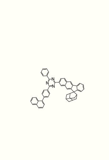 c1ccc(-c2nc(-c3ccc(-c4cccc5ccccc45)cc3)nc(-c3ccc4cc5c(cc4c3)C3(c4ccccc4-5)C4CC5CC(C4)CC3C5)n2)cc1